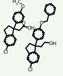 COc1ccc(C2(CC(=O)O)CCc3cc(Cl)ccc32)cc1.OCCC1(c2ccc(OCc3ccccc3)cc2)CCc2cc(Cl)ccc21